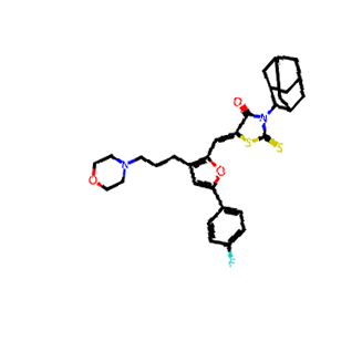 O=C1/C(=C/c2oc(-c3ccc(F)cc3)cc2CCCN2CCOCC2)SC(=S)N1C1C2CC3CC(C2)CC1C3